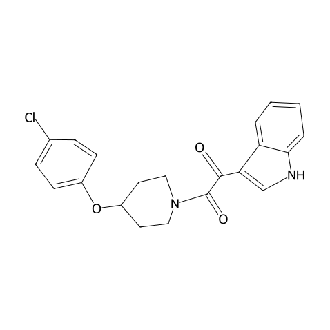 O=C(C(=O)N1CCC(Oc2ccc(Cl)cc2)CC1)c1c[nH]c2ccccc12